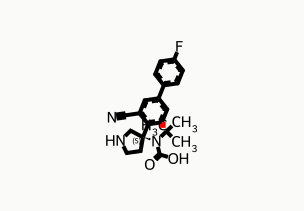 CC(C)(C)N(C(=O)O)[C@]1(c2ccc(-c3ccc(F)cc3)cc2C#N)CCNC1